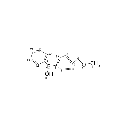 COCc1ccc(B(O)c2ccccc2)cc1